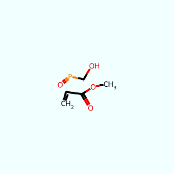 C=CC(=O)OC.O=P[CH]O